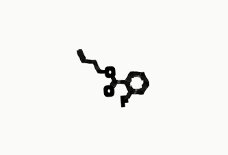 C=CCCOC(=O)c1ccccc1F